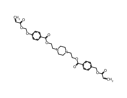 C=CC(=O)OCOc1ccc(C(=O)OCCN2CCN(CCOC(=O)c3ccc(COC(=O)C=C)cc3)CC2)cc1